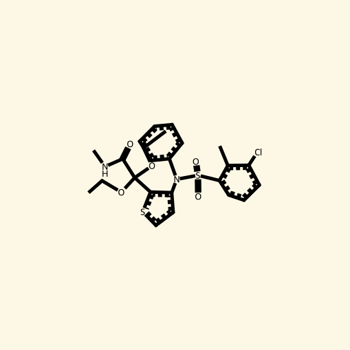 CCOC(OCC)(C(=O)NC)c1sccc1N(c1ccccc1)S(=O)(=O)c1cccc(Cl)c1C